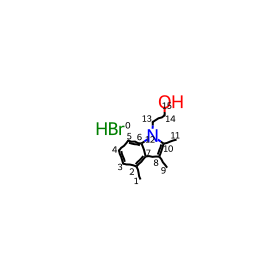 Br.Cc1cccc2c1c(C)c(C)n2CCO